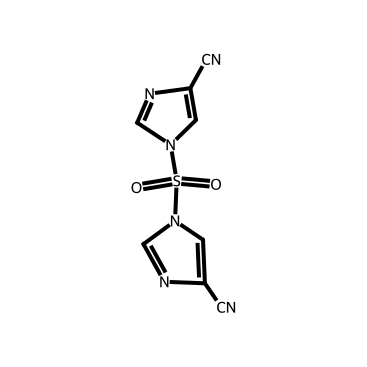 N#Cc1cn(S(=O)(=O)n2cnc(C#N)c2)cn1